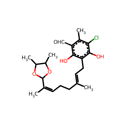 C/C(=C/CC/C(C)=C/Cc1c(O)c(Cl)c(C)c(C=O)c1O)C1OC(C)C(C)O1